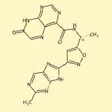 Cc1ncc2nc(-c3cc([C@@H](C)NC(=O)c4ncnc5[nH]c(=O)cnc45)on3)[nH]c2n1